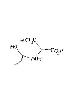 CC(O)NC(C(=O)O)C(=O)O